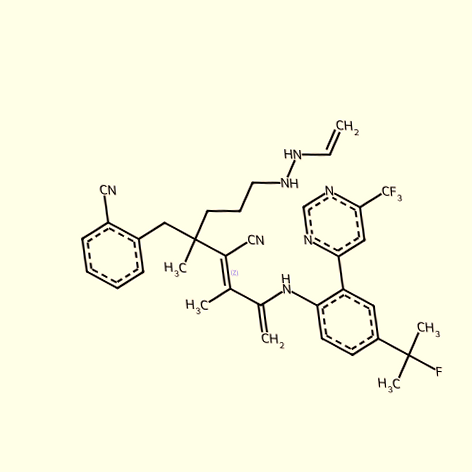 C=CNNCCCC(C)(Cc1ccccc1C#N)/C(C#N)=C(\C)C(=C)Nc1ccc(C(C)(C)F)cc1-c1cc(C(F)(F)F)ncn1